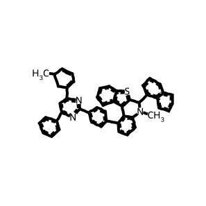 CC1C=CC=C(c2cc(-c3ccccc3)nc(-c3ccc(-c4cccc5c4-c4c(sc6ccccc46)C(c4cccc6ccccc46)N5C)cc3)n2)C1